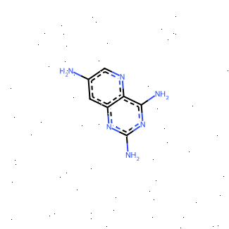 Nc1cnc2c(N)nc(N)nc2c1